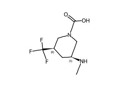 CN[C@H]1C[C@@H](C(F)(F)F)CN(C(=O)O)C1